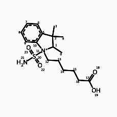 CC1C(C)(C)c2ccccc2[N+]1(CCCCCC(=O)O)S(N)(=O)=O